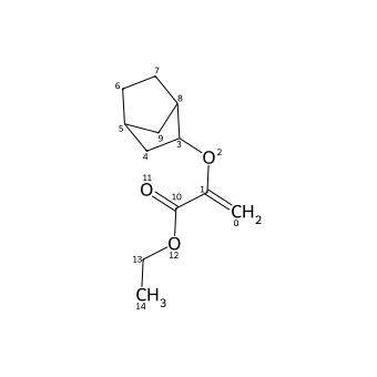 C=C(OC1CC2CCC1C2)C(=O)OCC